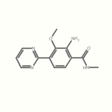 CNC(=O)c1ccc(-c2ncccn2)c(OC)c1N